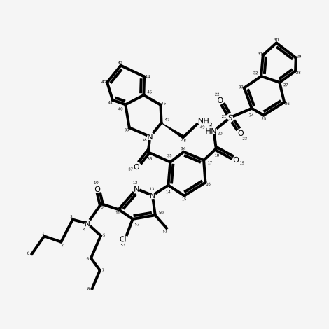 CCCCN(CCCC)C(=O)c1nn(-c2ccc(C(=O)NS(=O)(=O)c3ccc4ccccc4c3)cc2C(=O)N2Cc3ccccc3C[C@H]2CN)c(C)c1Cl